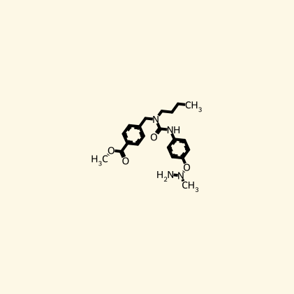 CCCCN(Cc1ccc(C(=O)OC)cc1)C(=O)Nc1ccc(ON(C)N)cc1